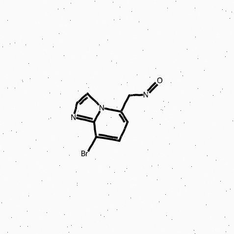 O=NCc1ccc(Br)c2nccn12